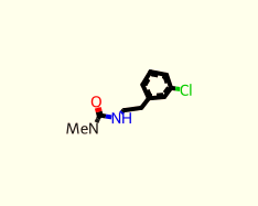 CNC(=O)NCCc1cccc(Cl)c1